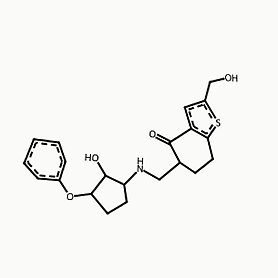 O=C1c2cc(CO)sc2CCC1CNC1CCC(Oc2ccccc2)C1O